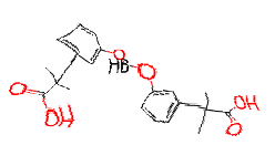 CC(C)(C(=O)O)c1cccc(OBOc2cccc(C(C)(C)C(=O)O)c2)c1